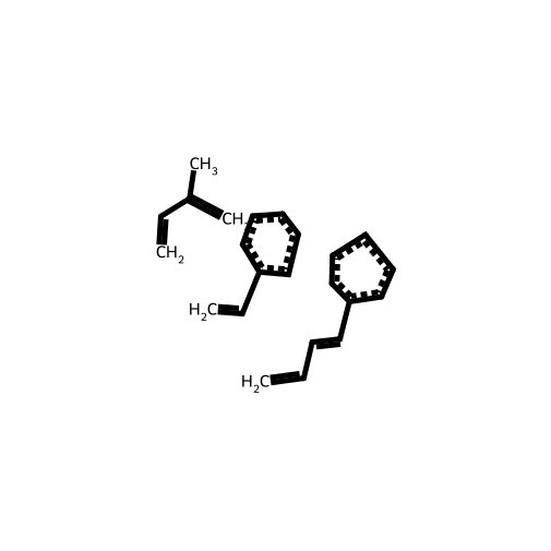 C=CC(=C)C.C=CC=Cc1ccccc1.C=Cc1ccccc1